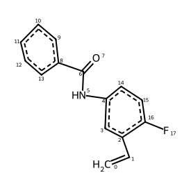 C=Cc1cc(NC(=O)c2ccccc2)ccc1F